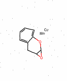 [Cu].[Mn].c1ccc2c(c1)CC1OC1O2